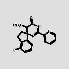 CCOC(=O)C1C(=O)NC(c2ccccn2)=NC12CCc1c(F)cccc12